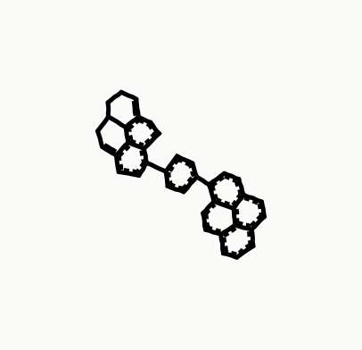 C1=c2ccc3c(-c4ccc(-c5ccc6ccc7cccc8ccc5c6c78)cc4)ccc4c3c2C(CC=4)CC1